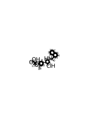 C[C@@H](N[C@H]1CC[C@@H](c2ccc(OC(C)(C)C(=O)O)c(F)c2)C1)c1cccc2ccccc12.Cl